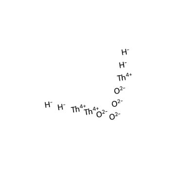 [H-].[H-].[H-].[H-].[O-2].[O-2].[O-2].[O-2].[Th+4].[Th+4].[Th+4]